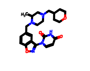 CC1CN(CC2CCOCC2)CCN1Cc1ccc2onc(-n3ccc(=O)[nH]c3=O)c2c1